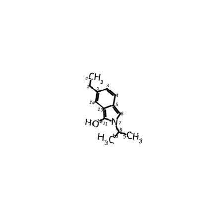 CCc1ccc2cn(C(C)C)c(O)c2c1